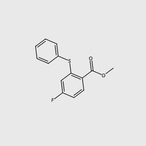 COC(=O)c1ccc(F)cc1Sc1ccccc1